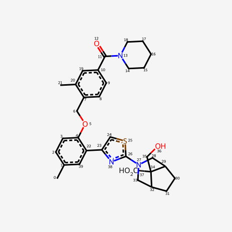 Cc1ccc(OCc2ccc(C(=O)N3CCCCC3)cc2C)c(-c2csc(N3CC4CCC(C3)C4(CO)C(=O)O)n2)c1